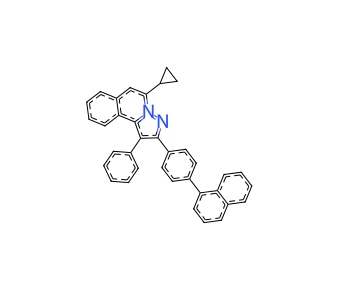 c1ccc(-c2c(-c3ccc(-c4cccc5ccccc45)cc3)nn3c(C4CC4)cc4ccccc4c23)cc1